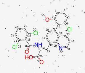 COc1cccc(Cl)c1-c1ccc(CC(NC(=O)c2c(Cl)cccc2Cl)C(=O)O)c2ncccc12